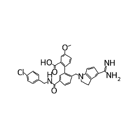 COc1ccc(-c2cc(C(=O)NCc3ccc(Cl)cc3)ccc2CN2CCc3cc(C(=N)N)ccc32)c(C(=O)O)c1